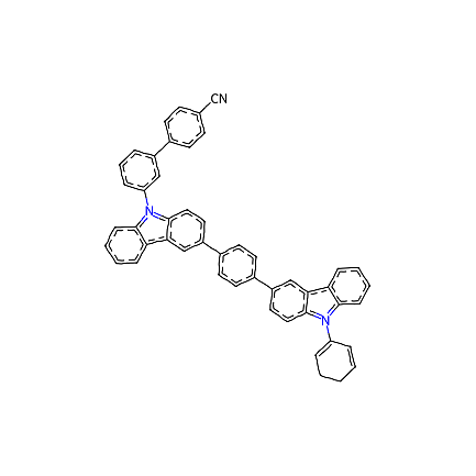 N#Cc1ccc(-c2cccc(-n3c4ccccc4c4cc(-c5ccc(-c6ccc7c(c6)c6ccccc6n7C6=CCCC=C6)cc5)ccc43)c2)cc1